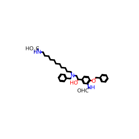 O=CNc1cc(C(O)CN(CCCCCCCCCCCNC(=O)O)Cc2ccccc2)ccc1OCc1ccccc1